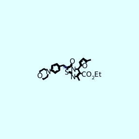 CCOC(=O)C1=C(C)N=c2s/c(=C\c3ccc(N4CCOCC4)cc3)c(=O)n2C1c1ccc(C)o1